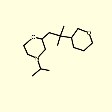 CC(C)N1CCOC(CC(C)(C)C2CCCOC2)C1